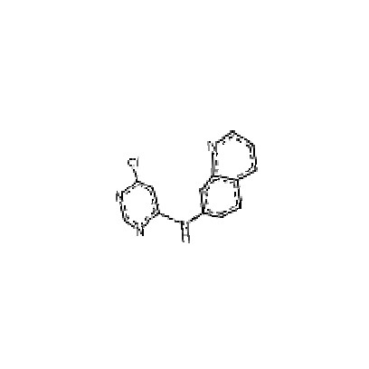 Clc1cc(Nc2ccc3cccnc3c2)ncn1